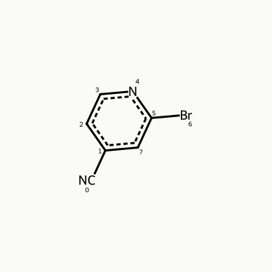 N#Cc1ccnc(Br)c1